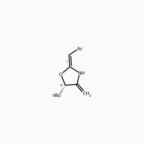 C=C1N/C(=C\C(C)=O)O[C@H]1CCCC